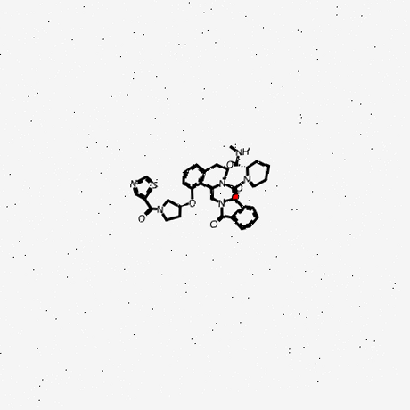 CNC(=O)[C@@H]1CCCCN1C(=O)N1CCc2cccc(O[C@H]3CCN(C(=O)c4cncs4)C3)c2C1CN1C(=O)c2ccccc2C1=O